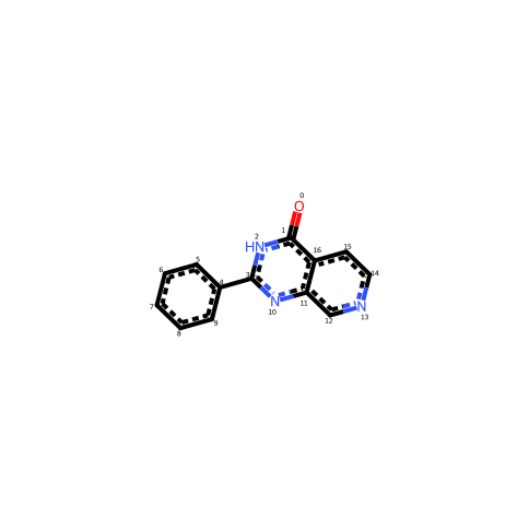 O=c1[nH]c(-c2ccccc2)nc2cnccc12